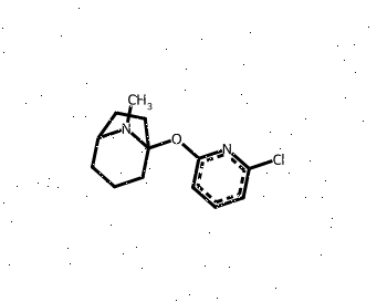 CN1C2CCCC1(Oc1cccc(Cl)n1)CC2